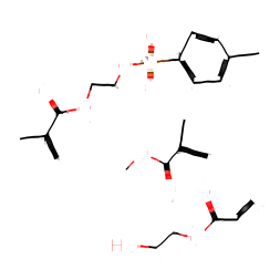 C=C(C)C(=O)OC.C=C(C)C(=O)OCCOS(=O)(=O)c1ccc(C)cc1.C=CC(=O)OCCO